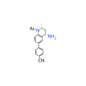 CC(=O)N1c2ccc(-c3ccc(C#N)cc3)cc2[C@@H](N)C[C@H]1C